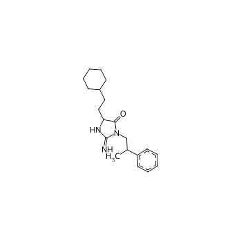 CC(CN1C(=N)NC(CCC2CCCCC2)C1=O)c1ccccc1